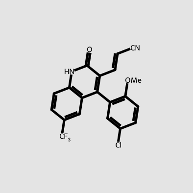 COc1ccc(Cl)cc1-c1c(C=CC#N)c(=O)[nH]c2ccc(C(F)(F)F)cc12